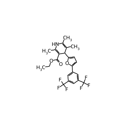 CCOC(=O)C1=C(C)NC(C)=C(C)C1c1ccc(-c2cc(C(F)(F)F)cc(C(F)(F)F)c2)o1